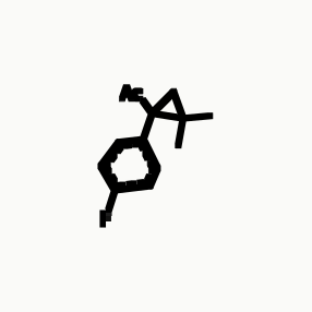 CC(=O)C1(c2ccc(F)cc2)CC1(C)C